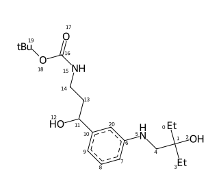 CCC(O)(CC)CNc1cccc(C(O)CCNC(=O)OC(C)(C)C)c1